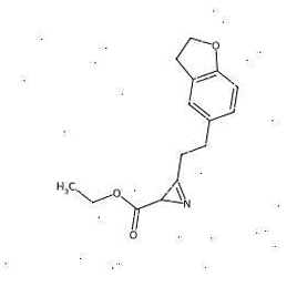 CCOC(=O)C1N=C1CCc1ccc2c(c1)CCO2